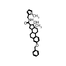 Cn1cccc1CNC(=O)C1CC2C3CCc4cc(OCc5ccccc5)ccc4C3CC[C@]2(C)[C@H]1O